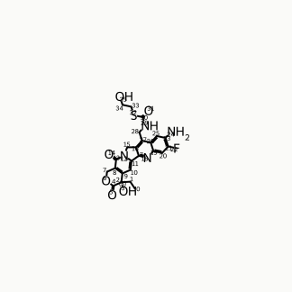 CC[C@@]1(O)C(=O)OCc2c1cc1n(c2=O)Cc2c-1nc1cc(F)c(N)cc1c2CNC(=O)SCCO